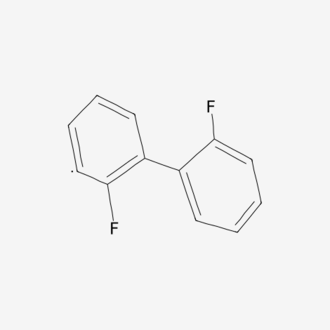 Fc1[c]cccc1-c1ccccc1F